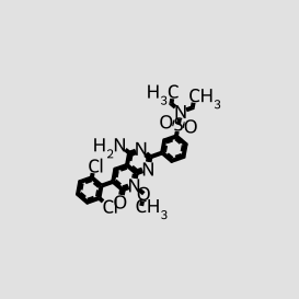 CCN(CC)S(=O)(=O)c1cccc(-c2nc(N)c3cc(-c4c(Cl)cccc4Cl)c(=O)n(OC)c3n2)c1